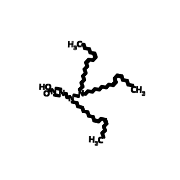 CCCCC/C=C\C/C=C\CCCCCCCCN(CCCCCCCC/C=C\C/C=C\CCCCC)CCN(CCCCCCCC/C=C\C/C=C\CCCCC)CCN1CCN(C(=O)O)CC1